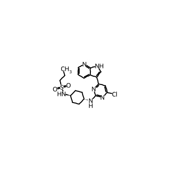 CCCS(=O)(=O)N[C@H]1CC[C@H](Nc2nc(Cl)cc(-c3c[nH]c4ncccc34)n2)CC1